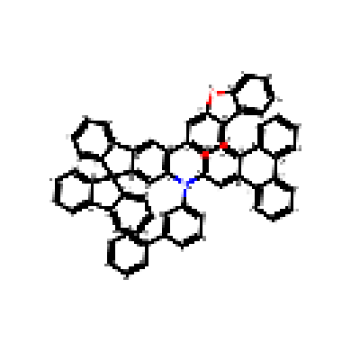 c1ccc(-c2cccc(N(c3ccc4c5ccccc5c5ccccc5c4c3)c3cc4c(cc3-c3ccc5c(c3)oc3ccccc35)-c3ccccc3C43c4ccccc4-c4ccccc43)c2)cc1